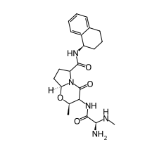 CN[C@@H](N)C(=O)NC1C(=O)N2C(C(=O)N[C@@H]3CCCc4ccccc43)CC[C@@H]2O[C@@H]1C